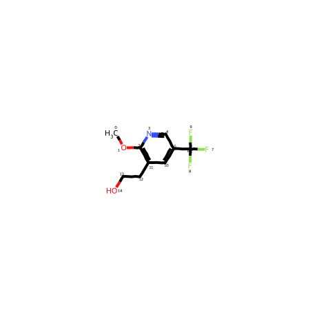 COc1ncc(C(F)(F)F)cc1CCO